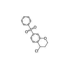 O=S(=O)(c1ccccc1)c1ccc2c(c1)OCCC2Cl